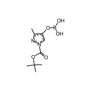 Cc1nn(C(=O)OC(C)(C)C)cc1OB(O)O